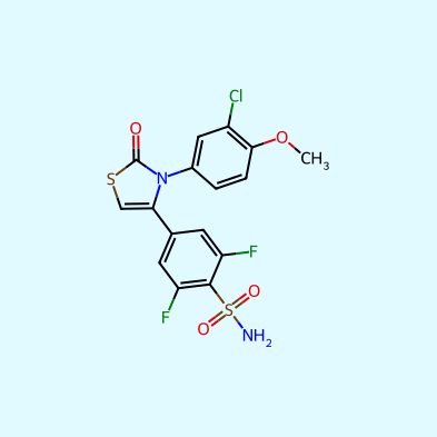 COc1ccc(-n2c(-c3cc(F)c(S(N)(=O)=O)c(F)c3)csc2=O)cc1Cl